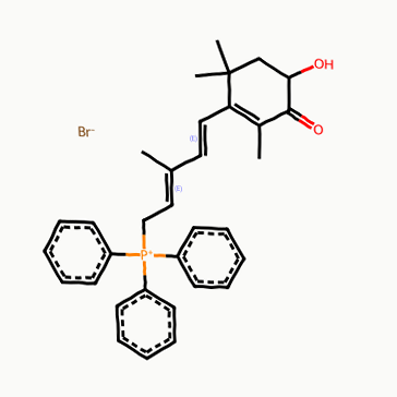 CC1=C(/C=C/C(C)=C/C[P+](c2ccccc2)(c2ccccc2)c2ccccc2)C(C)(C)CC(O)C1=O.[Br-]